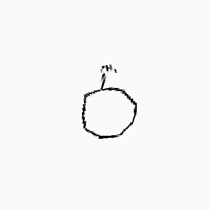 CC1CCCCCCCC1